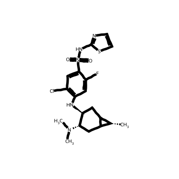 C[C@H]1C2C[C@H](Nc3cc(F)c(S(=O)(=O)Nc4nccs4)cc3Cl)[C@@H](N(C)C)CC21